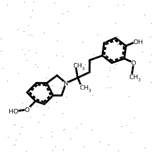 COc1cc(CCC(C)(C)N2Cc3ccc(OO)cc3C2)ccc1O